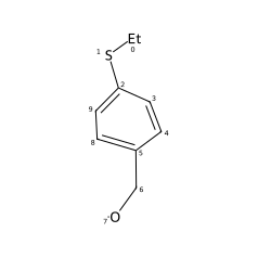 CCSc1ccc(C[O])cc1